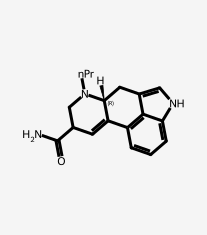 CCCN1CC(C(N)=O)C=C2c3cccc4[nH]cc(c34)C[C@H]21